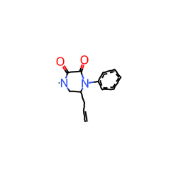 C=CCC1C[N]C(=O)C(=O)N1c1ccccc1